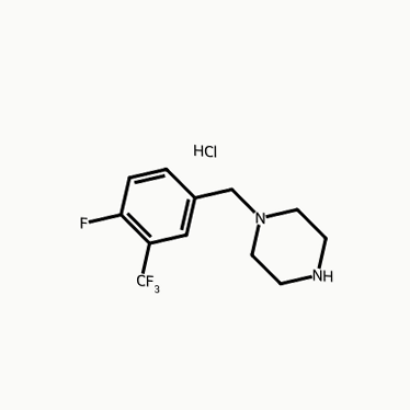 Cl.Fc1ccc(CN2CCNCC2)cc1C(F)(F)F